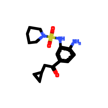 Nc1ccc(C(=O)CC2CC2)cc1NS(=O)(=O)N1CCCCC1